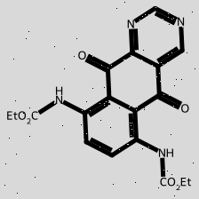 CCOC(=O)Nc1ccc(NC(=O)OCC)c2c1C(=O)c1cncnc1C2=O